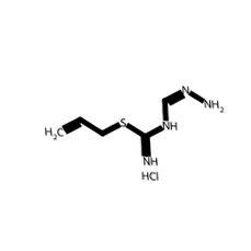 C=CCSC(=N)N/C=N\N.Cl